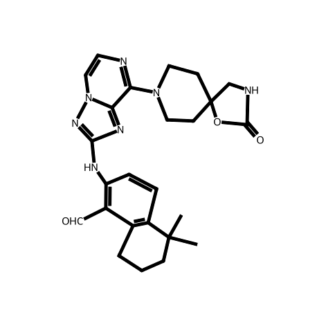 CC1(C)CCCc2c1ccc(Nc1nc3c(N4CCC5(CC4)CNC(=O)O5)nccn3n1)c2C=O